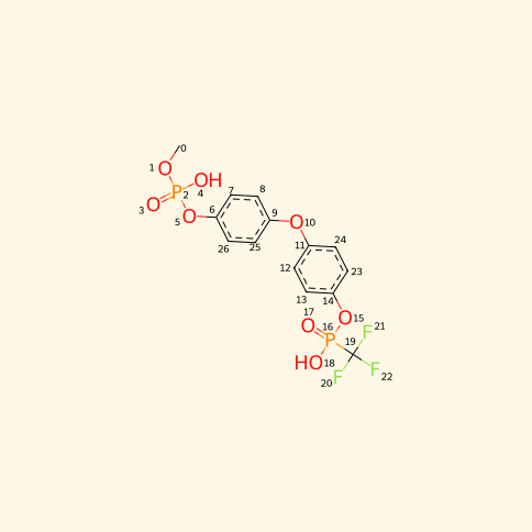 COP(=O)(O)Oc1ccc(Oc2ccc(OP(=O)(O)C(F)(F)F)cc2)cc1